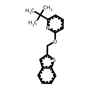 CC(C)(C)c1cccc(OCc2cc3ccccc3s2)n1